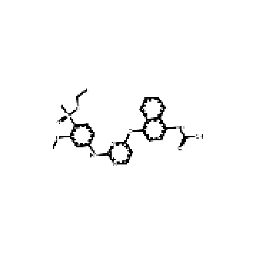 CCOP(C)(=O)c1ccc(Nc2nccc(Oc3ccc(NC(=O)O)c4ccccc34)n2)cc1OC